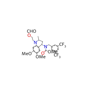 COC(=O)N(Cc1cc(C(F)(F)F)cc(C(F)(F)F)c1)C1CC(C)N(CCOC=O)c2cc(OC)c(OC)cc21